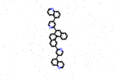 c1ccc2c(c1)cc(-c1cc(-c3cccc4ncccc34)ccn1)c1ccc3ccc(-c4cc(-c5cccc6ncccc56)ccn4)cc3c12